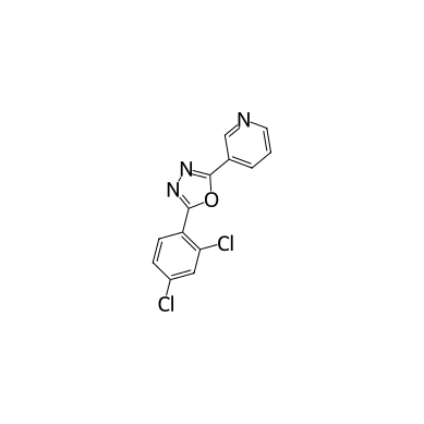 Clc1ccc(-c2nnc(-c3cccnc3)o2)c(Cl)c1